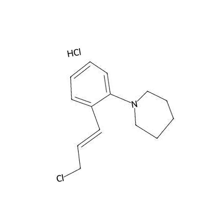 Cl.ClCC=Cc1ccccc1N1CCCCC1